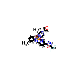 Cc1cccc(N(Cc2ccc(-c3nnc(C(F)F)o3)cn2)S(=O)(=O)N2CCN(C3COC3)C(C)C2)c1